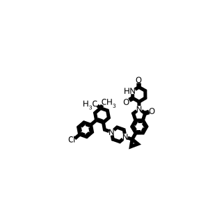 CC1(C)CCC(CN2CCN(C3(c4ccc5c(c4)CN(C4CCC(=O)NC4=O)C5=O)CC3)CC2)=C(c2ccc(Cl)cc2)C1